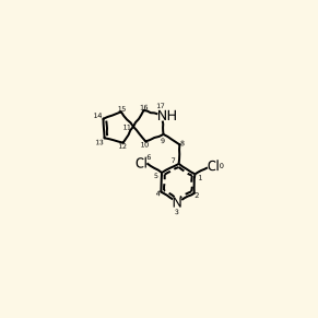 Clc1cncc(Cl)c1CC1CC2(CC=CC2)CN1